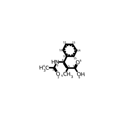 CC(=O)N/C(=C(\C)C(=O)O)c1ccccc1